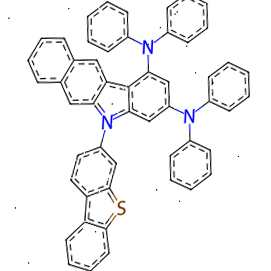 c1ccc(N(c2ccccc2)c2cc(N(c3ccccc3)c3ccccc3)c3c4cc5ccccc5cc4n(-c4ccc5c(c4)sc4ccccc45)c3c2)cc1